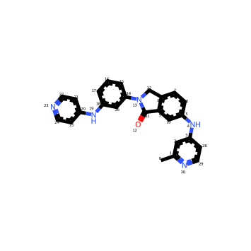 Cc1cc(Nc2ccc3c(c2)C(=O)N(c2cccc(Nc4ccncc4)c2)C3)ccn1